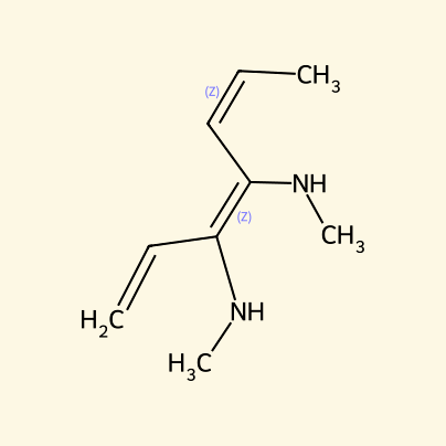 C=C/C(NC)=C(\C=C/C)NC